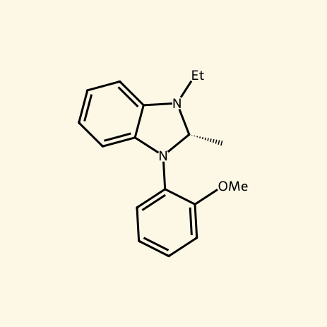 CCN1c2ccccc2N(c2ccccc2OC)[C@H]1C